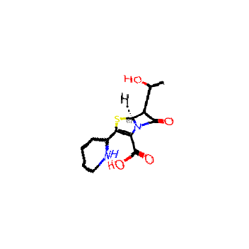 CC(O)C1C(=O)N2C(C(=O)O)=C(C3CCCCN3)S[C@@H]12